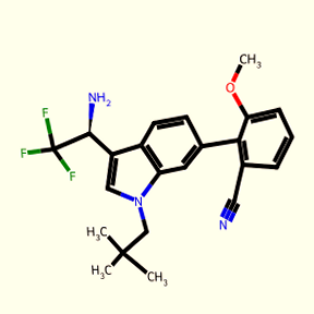 COc1cccc(C#N)c1-c1ccc2c([C@H](N)C(F)(F)F)cn(CC(C)(C)C)c2c1